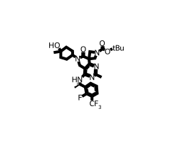 Cc1nc(N[C@H](C)c2cccc(C(F)(F)F)c2F)c2c(n1)C1(CN(C(=O)OC(C)(C)C)C1)C(=O)N(C1CCC(C)(O)CC1)C2